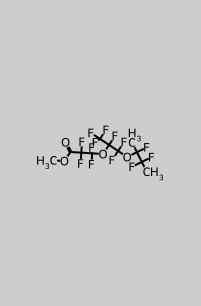 COC(=O)C(F)(F)C(F)(F)OC(F)(C(F)(F)F)C(F)(F)OC(C)(F)C(C)(F)F